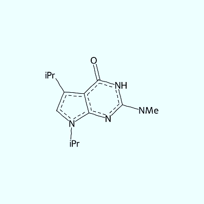 CNc1nc2c(c(C(C)C)cn2C(C)C)c(=O)[nH]1